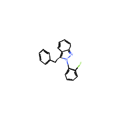 Fc1ccccc1-n1nc2ccccc2c1Cc1ccccc1